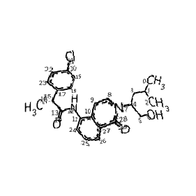 CC(C)CC(CO)n1ccc2c(NC(=O)[C@H](C)c3ccc(Cl)cc3)cccc2c1=O